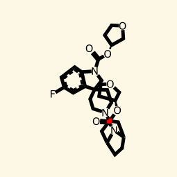 O=C(O[C@@H]1CCOC1)N1CC2(CCN(C3CC4CCC(C3)N4C(=O)O[C@H]3CCOC3)CC2)c2cc(F)ccc21